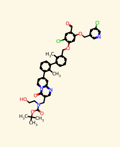 Cc1c(COc2cc(OCc3cncc(Cl)c3)c(C=O)cc2Cl)cccc1-c1cccc(-c2ccn3c(=O)c(CN(CCO)C(=O)OC(C)(C)C)cnc3c2)c1C